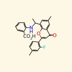 Cc1ccc(-c2cc(=O)c3cc(C)cc(C(C)Nc4ccccc4C(=O)O)c3o2)c(F)c1